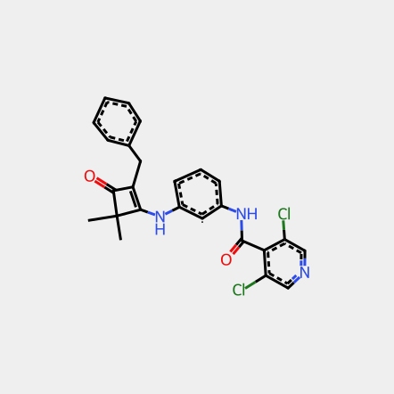 CC1(C)C(=O)C(Cc2ccccc2)=C1Nc1[c]c(NC(=O)c2c(Cl)cncc2Cl)ccc1